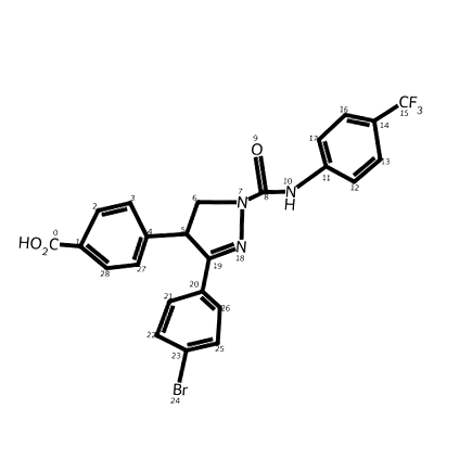 O=C(O)c1ccc(C2CN(C(=O)Nc3ccc(C(F)(F)F)cc3)N=C2c2ccc(Br)cc2)cc1